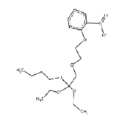 CCCCOC(COCCOc1ccccc1[N+](=O)[O-])(OCC)OCC